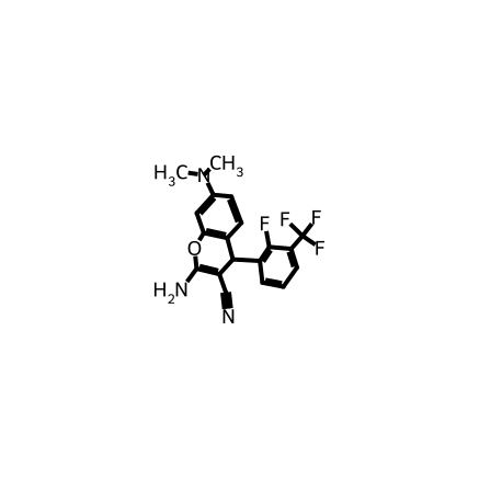 CN(C)c1ccc2c(c1)OC(N)=C(C#N)C2c1cccc(C(F)(F)F)c1F